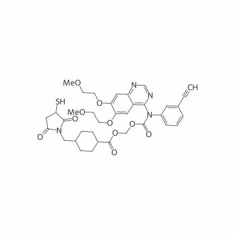 C#Cc1cccc(N(C(=O)OCOC(=O)C2CCC(CN3C(=O)CC(S)C3=O)CC2)c2ncnc3cc(OCCOC)c(OCCOC)cc23)c1